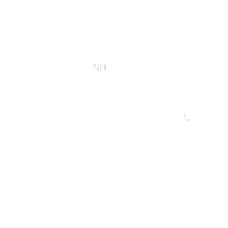 N#Cc1ccc2sc3cccc(N)c3c2c1